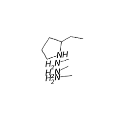 CCC1CCCN1.CN.CN.CN